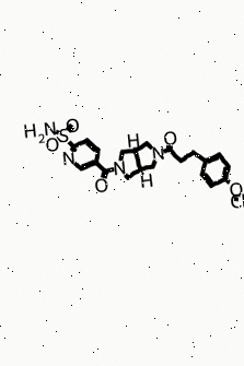 NS(=O)(=O)c1ccc(C(=O)N2C[C@@H]3CN(C(=O)CCc4ccc(OC(F)(F)F)cc4)C[C@H]3C2)cn1